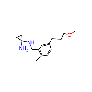 COCCCc1ccc(C)c(CNC2(N)CC2)c1